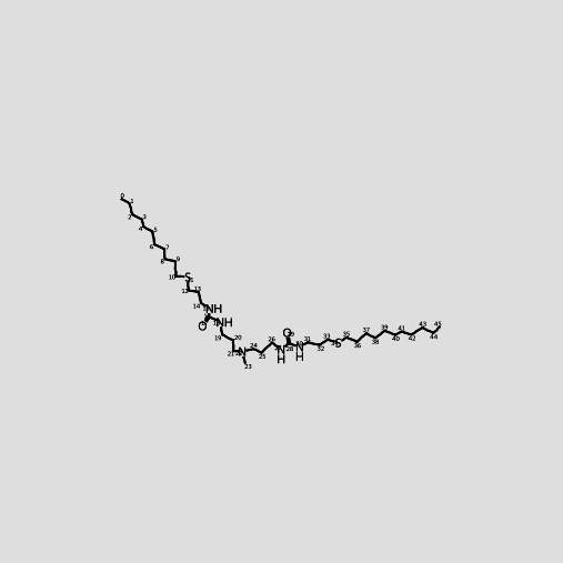 CCCCCCCCCCCSCCCNC(=O)NCCCN(C)CCCNC(=O)NCCCSCCCCCCCCCCC